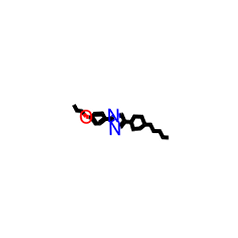 CCCCCC1CCC(c2cnc(-c3ccc(OCCC)cc3)nc2)CC1